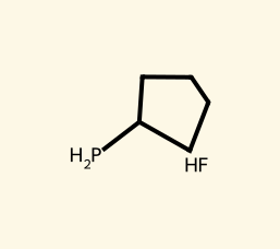 F.PC1CCCC1